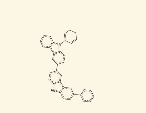 C1=CC(n2c3ccccc3c3cc(-c4ccc5[nH]c6ccc(-c7ccccc7)cc6c5c4)ccc32)=CCC1